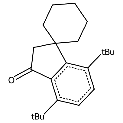 CC(C)(C)c1ccc(C(C)(C)C)c2c1C(=O)CC21CCCCC1